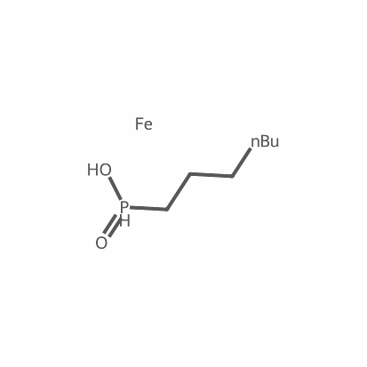 CCCCCCC[PH](=O)O.[Fe]